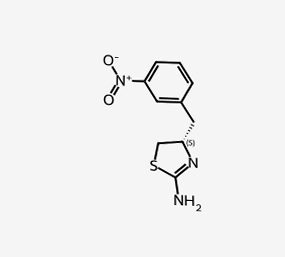 NC1=N[C@@H](Cc2cccc([N+](=O)[O-])c2)CS1